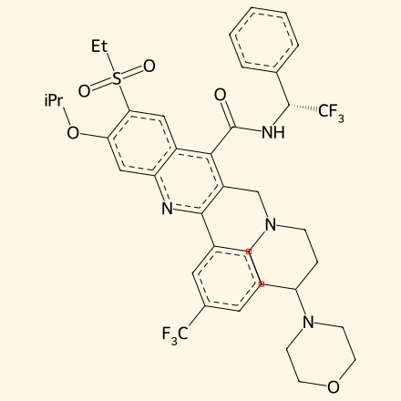 CCS(=O)(=O)c1cc2c(C(=O)N[C@H](c3ccccc3)C(F)(F)F)c(CN3CCC(N4CCOCC4)CC3)c(-c3cccc(C(F)(F)F)c3)nc2cc1OC(C)C